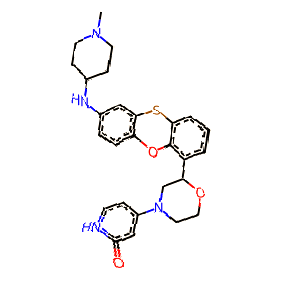 CN1CCC(Nc2ccc3c(c2)Sc2cccc(C4CN(c5cc[nH]c(=O)c5)CCO4)c2O3)CC1